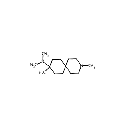 CN1CCC2(CC1)CCC(C)(N(C)C)CC2